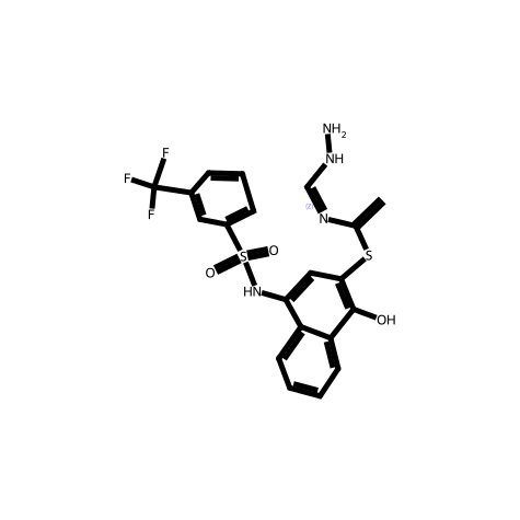 C=C(/N=C\NN)Sc1cc(NS(=O)(=O)c2cccc(C(F)(F)F)c2)c2ccccc2c1O